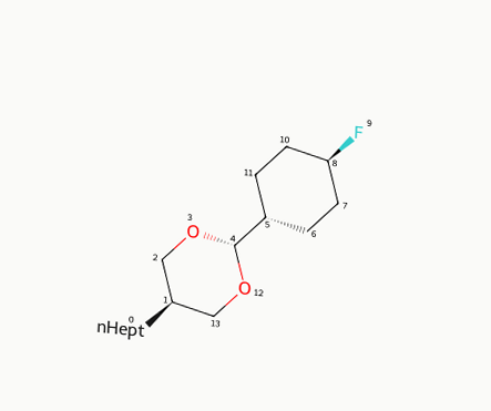 CCCCCCC[C@H]1CO[C@H]([C@H]2CC[C@H](F)CC2)OC1